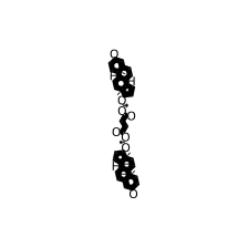 C[C@]12CC[C@H]3[C@@H](CCC4=CC(=O)CC[C@@]43C)[C@@H]1CC[C@@H]2OCOC(=O)CCC(=O)OCO[C@H]1CC[C@H]2[C@@H]3CCC4=CC(=O)CC[C@]4(C)[C@H]3CC[C@]12C